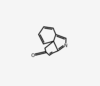 O=C1C=CC2=NC=C3C=CC=CC32C1